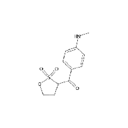 CNc1ccc(C(=O)C2CCOS2(=O)=O)cc1